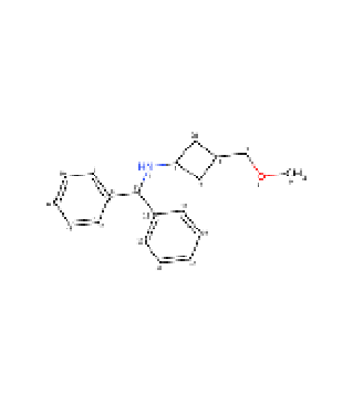 COCC1CC(NC(c2ccccc2)c2ccccc2)C1